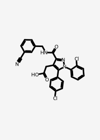 N#Cc1cccc(CNC(=O)c2nn(-c3ccccc3Cl)c(-c3ccc(Cl)cc3)c2CC(=O)O)c1